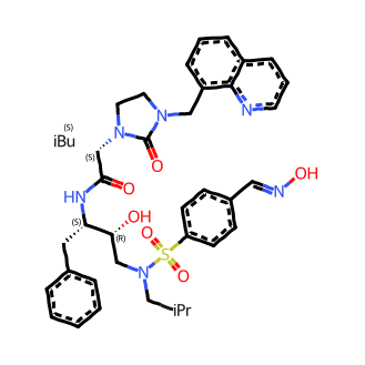 CC[C@H](C)[C@@H](C(=O)N[C@@H](Cc1ccccc1)[C@H](O)CN(CC(C)C)S(=O)(=O)c1ccc(C=NO)cc1)N1CCN(Cc2cccc3cccnc23)C1=O